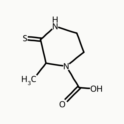 CC1C(=S)NCCN1C(=O)O